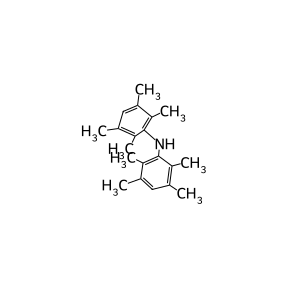 Cc1cc(C)c(C)c(Nc2c(C)c(C)cc(C)c2C)c1C